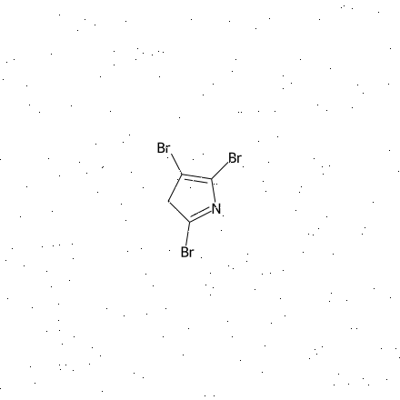 BrC1=NC(Br)=C(Br)C1